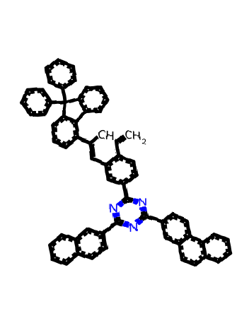 C=Cc1ccc(-c2nc(-c3ccc4ccccc4c3)nc(-c3ccc4c(ccc5ccccc54)c3)n2)cc1/C=C(\C)c1cccc2c1-c1ccccc1C2(c1ccccc1)c1ccccc1